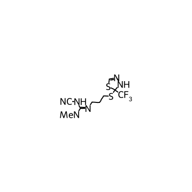 CNC(=NCCCSC1(C(F)(F)F)NN=CS1)NC#N